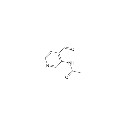 CC(=O)Nc1cnccc1C=O